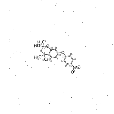 CC1(O)CC(C)(C)c2ccc(Oc3ccc([N+](=O)[O-])cc3)cc2O1